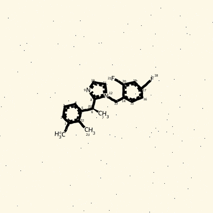 Cc1cccc([C@H](C)c2nccn2Cc2ccc(F)cc2F)c1C